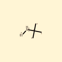 CC[SiH2]C(C)(C)C